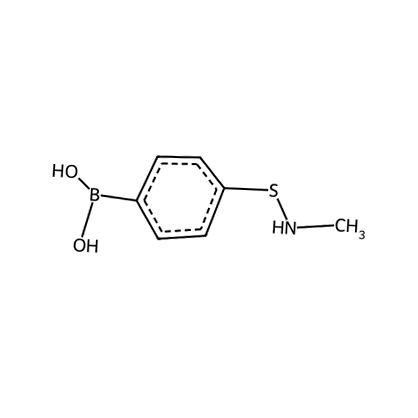 CNSc1ccc(B(O)O)cc1